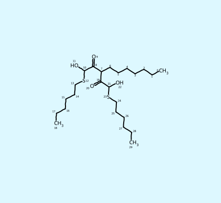 CCCCCCCC(C(=O)C(O)SCCCCCC)C(=O)C(O)SCCCCCC